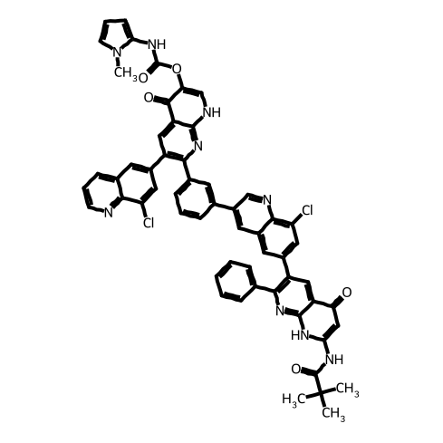 Cn1cccc1NC(=O)Oc1c[nH]c2nc(-c3cccc(-c4cnc5c(Cl)cc(-c6cc7c(=O)cc(NC(=O)C(C)(C)C)[nH]c7nc6-c6ccccc6)cc5c4)c3)c(-c3cc(Cl)c4ncccc4c3)cc2c1=O